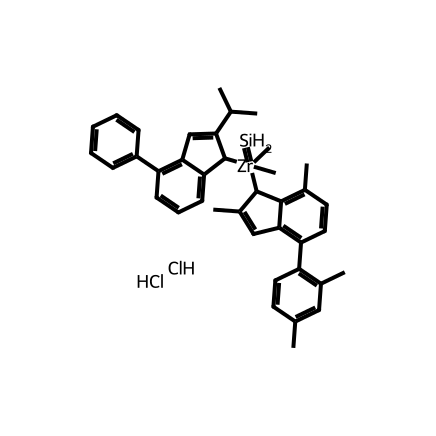 CC1=Cc2c(-c3ccc(C)cc3C)ccc(C)c2[CH]1[Zr]([CH3])([CH3])(=[SiH2])[CH]1C(C(C)C)=Cc2c(-c3ccccc3)cccc21.Cl.Cl